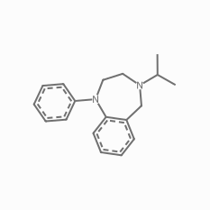 CC(C)N1CCN(c2ccccc2)c2ccccc2C1